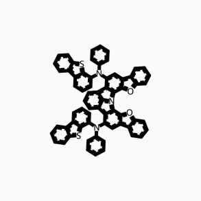 c1ccc(N(c2cccc3c2sc2ccccc23)c2cc3c4ccccc4oc3c3c2c2cccc4c5c(N(c6ccccc6)c6cccc7c6sc6ccccc67)cc6c7ccccc7oc6c5n3c24)cc1